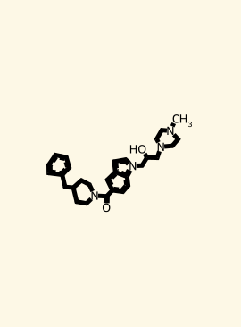 CN1CCN(CC(O)Cn2ccc3cc(C(=O)N4CCC(Cc5ccccc5)CC4)ccc32)CC1